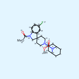 CCCOC(=O)N1C2CCCC1CC(N1CCC3(CC1)CN(C(=O)OC)c1ccc(F)cc13)C2